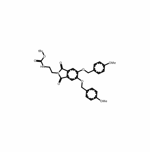 COc1ccc(COc2cc3c(cc2OCc2ccc(OC)cc2)C(=O)N(CCNC(=O)OC(C)(C)C)C3=O)cc1